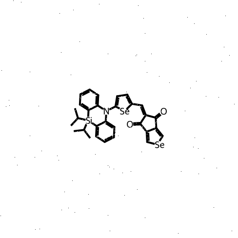 CC(C)[Si]1(C(C)C)c2ccccc2N(c2ccc(C=C3C(=O)c4c[se]cc4C3=O)[se]2)c2ccccc21